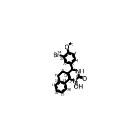 COc1ccc(C2NC(=O)N(O)C3=C2CCc2ccccc23)cc1Br